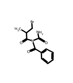 CC(CBr)C(=O)N(C(N)=O)C(=O)c1ccccc1